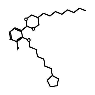 CCCCCCCCC1COC(c2cc[c]c(F)c2OCCCCCCC2CCCC2)OC1